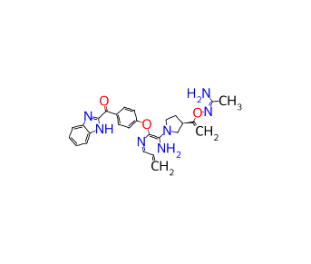 C=C/C=N\C(Oc1ccc(C(=O)c2nc3ccccc3[nH]2)cc1)=C(/N)N1CC[C@@H](C(=C)O/N=C(/C)N)C1